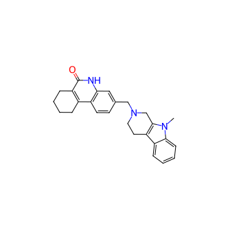 Cn1c2c(c3ccccc31)CCN(Cc1ccc3c4c(c(=O)[nH]c3c1)CCCC4)C2